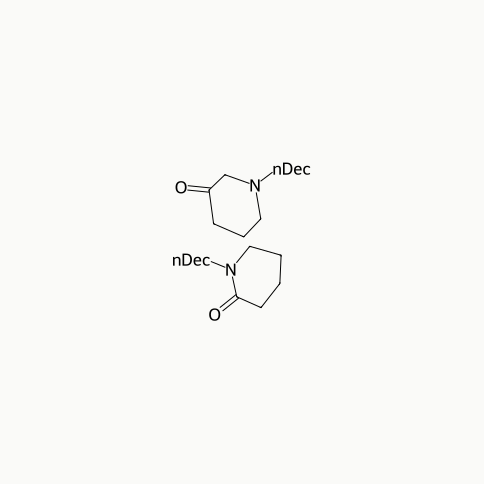 CCCCCCCCCCN1CCCC(=O)C1.CCCCCCCCCCN1CCCCC1=O